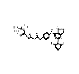 CC(C)(C)OC(=O)N1CC(NC(=O)Cc2ccc(Nc3nc(-c4c(F)cccc4F)nc4c3C(=O)NC4)cc2)C1